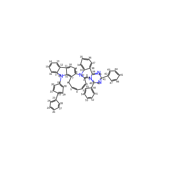 C=C1/C=C\C=C/Cc2c(ccc3c4ccccc4n(-c4ccc(-c5ccccc5)cc4)c23)N1c1ccccc1-c1nc(-c2ccccc2)nc(-c2ccccc2)n1